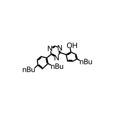 CCCCc1ccc(-c2ncnc(-c3ccc(CCCC)cc3CCCC)n2)c(O)c1